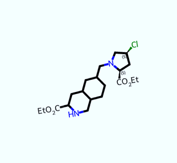 CCOC(=O)C1CC2CC(CN3C[C@@H](Cl)C[C@H]3C(=O)OCC)CCC2CN1